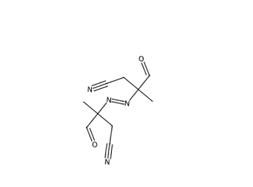 CC(C=O)(CC#N)N=NC(C)(C=O)CC#N